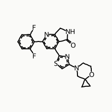 O=C1NCc2nc(-c3c(F)cccc3F)cc(-c3nc(N4CCOC5(CC5)C4)cs3)c21